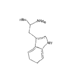 CCCCC(Cc1c[nH]c2c1=CCCC=2)NC